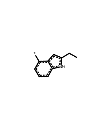 CCc1cc2c(F)cccc2[nH]1